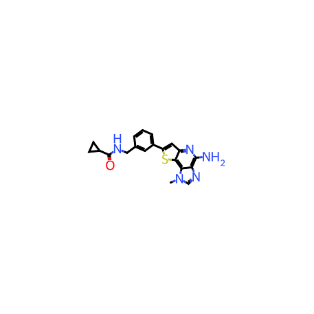 Cn1cnc2c(N)nc3cc(-c4cccc(CNC(=O)C5CC5)c4)sc3c21